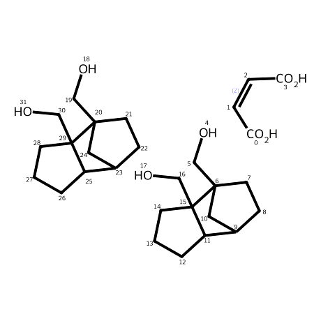 O=C(O)/C=C\C(=O)O.OCC12CCC(C1)C1CCCC12CO.OCC12CCC(C1)C1CCCC12CO